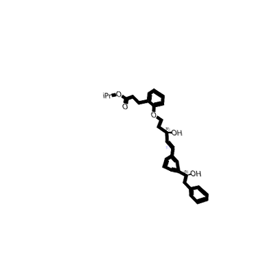 CC(C)OC(=O)CCc1ccccc1OCC[C@@H](O)/C=C/c1cccc([C@H](O)Cc2ccccc2)c1